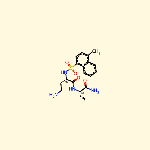 Cc1ccc(S(=O)(=O)N[C@@H](CCN)C(=O)N[C@H](C(N)=O)C(C)C)c2ccccc12